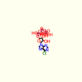 O=P(O)(O)OP(=O)(O)OP(=O)(O)OC1OC(n2cnc3c(Cl)ncnc32)C(O)C1O